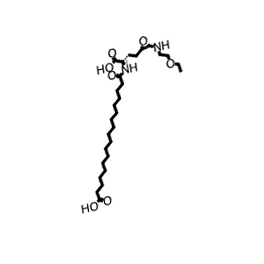 CCOCCNC1OC1CC[C@H](NC(=O)CCCCCCCCCCCCCCCCC(=O)O)C(=O)O